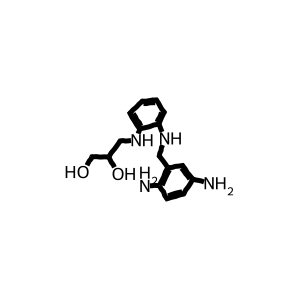 Nc1ccc(N)c(CNc2ccccc2NCC(O)CO)c1